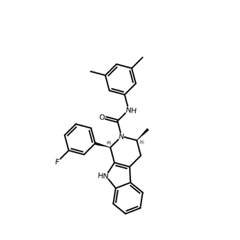 Cc1cc(C)cc(NC(=O)N2[C@H](c3cccc(F)c3)c3[nH]c4ccccc4c3C[C@@H]2C)c1